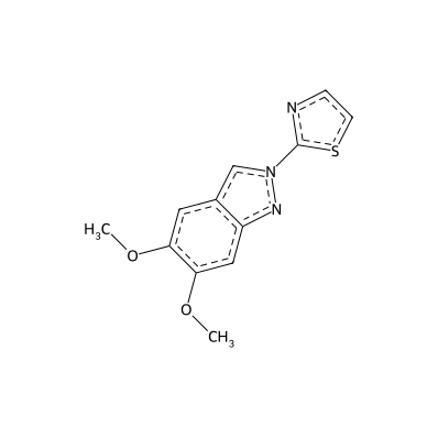 COc1cc2cn(-c3nccs3)nc2cc1OC